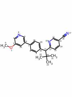 COc1cncc(-c2ccc(C(c3ccc(C#N)cn3)C(C)(C)C)cc2)c1